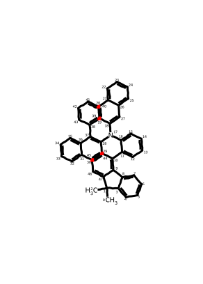 CC1(C)c2ccccc2-c2c(-c3ccccc3N(c3ccc4ccccc4c3)c3ccc4ccccc4c3-c3ccccc3)cccc21